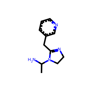 CC(N)N1CCN=C1Cc1cccnc1